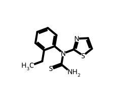 CCc1ccccc1N(C(N)=S)c1nccs1